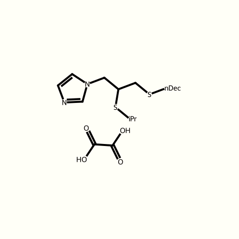 CCCCCCCCCCSCC(Cn1ccnc1)SC(C)C.O=C(O)C(=O)O